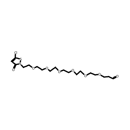 O=CCCOCCOCCOCCOCCOCCOCCn1sc(Cl)cc1=O